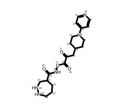 O=C(CC1CCN(c2ccncc2)CC1)C(=O)ONC(=O)C1CCCNNC1